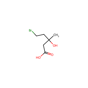 CC(O)(CCBr)CC(=O)O